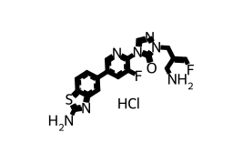 Cl.NC/C(=C\F)Cn1ncn(-c2ncc(-c3ccc4sc(N)nc4c3)cc2F)c1=O